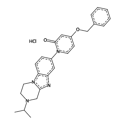 CC(C)N1CCn2c(nc3cc(-n4ccc(OCc5ccccc5)cc4=O)ccc32)C1.Cl